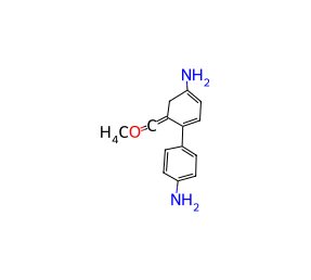 C.NC1=CC=C(c2ccc(N)cc2)C(=C=O)C1